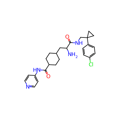 NC(CC1CCC(C(=O)Nc2ccncc2)CC1)C(=O)NCC1(c2ccc(Cl)cc2)CC1